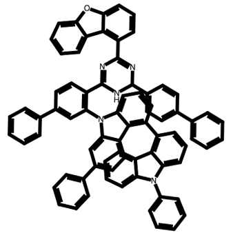 c1ccc(-c2ccc(C3N=C(c4cccc5oc6ccccc6c45)N=C(c4ccc(-c5ccccc5)cc4-n4c5cc(-c6ccccc6)ccc5c5c(-c6cccc7c6c6ccccc6n7-c6ccccc6)cccc54)N3)cc2)cc1